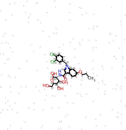 CCCOc1ccc2c(C(=O)N[C@H]3C(O)OC(CO)[C@@H](O)[C@@H]3O)cn(Cc3ccc(Cl)c(Cl)c3)c2c1